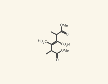 COC(=O)C(C)C(C(=O)O)=C(C(=O)O)C(C)C(=O)OC